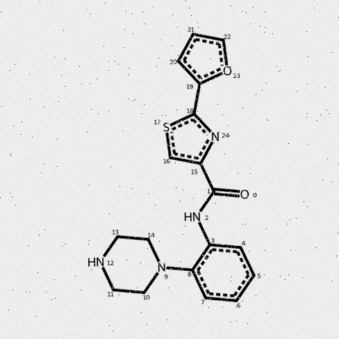 O=C(Nc1ccccc1N1CCNCC1)c1csc(-c2ccco2)n1